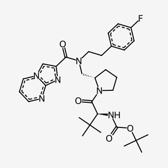 CC(C)(C)OC(=O)N[C@H](C(=O)N1CCC[C@H]1CN(CCc1ccc(F)cc1)C(=O)c1cn2cccnc2n1)C(C)(C)C